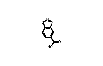 O=C(O)c1ccc2snnc2c1